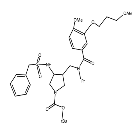 COCCCOc1cc(C(=O)N(CC2CN(C(=O)OC(C)(C)C)CC2NS(=O)(=O)Cc2ccccc2)C(C)C)ccc1OC